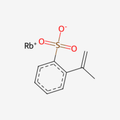 C=C(C)c1ccccc1S(=O)(=O)[O-].[Rb+]